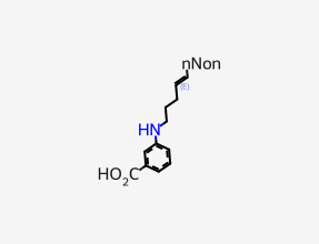 CCCCCCCCC/C=C/CCCNc1cccc(C(=O)O)c1